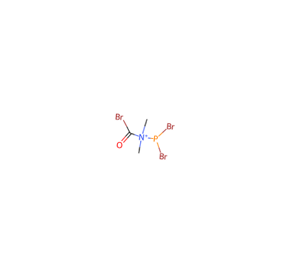 C[N+](C)(C(=O)Br)P(Br)Br